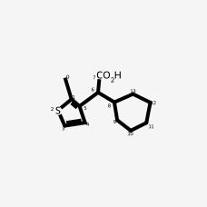 Cc1sccc1C(C(=O)O)C1CCCCC1